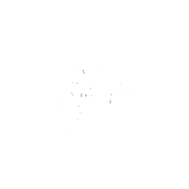 CC(=O)O.CC(C)(C)OC(=O)N[C@@H](CCCN(C(=O)O)C(C)(C)C)CNC(=O)[C@H](CN)NC(=O)OC(C)(C)C